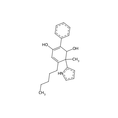 CCCCCC1=CC(O)=C(c2ccccc2)C(O)C1(C)c1ccc[nH]1